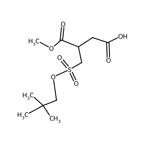 COC(=O)C(CC(=O)O)CS(=O)(=O)OCC(C)(C)C